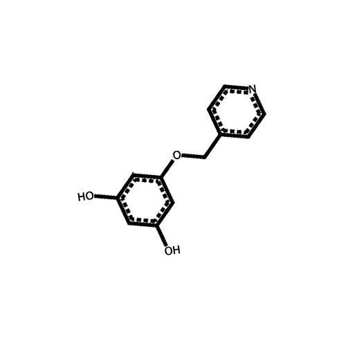 Oc1[c]c(OCc2ccncc2)cc(O)c1